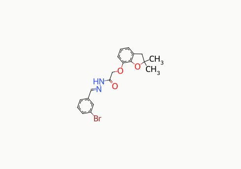 CC1(C)Cc2cccc(OCC(=O)N/N=C/c3cccc(Br)c3)c2O1